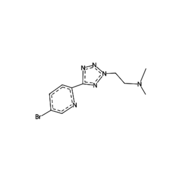 CN(C)CCn1nnc(-c2ccc(Br)cn2)n1